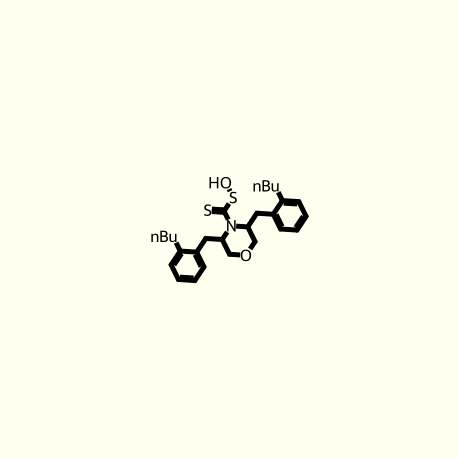 CCCCc1ccccc1CC1COCC(Cc2ccccc2CCCC)N1C(=S)SO